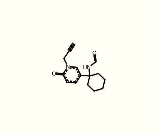 C#CCn1cc(C2(NC=O)CCCCC2)ccc1=O